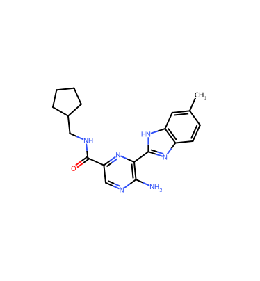 Cc1ccc2nc(-c3nc(C(=O)NCC4CCCC4)cnc3N)[nH]c2c1